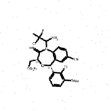 CCOC(=O)C[C@@H]1O[C@@H](c2cccc(OC)c2Cl)c2cc(C#N)ccc2N(C(N)C(C)(F)Cl)C1=N